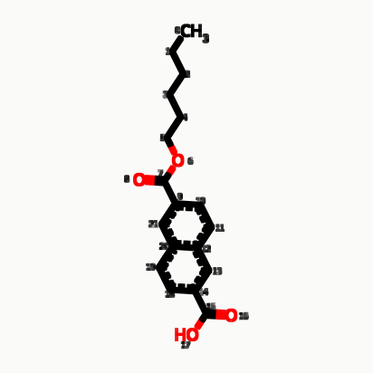 CCCCCCOC(=O)c1ccc2cc(C(=O)O)ccc2c1